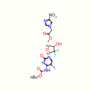 CCCCOC(=O)Nc1nc(=O)n([C@@H]2O[C@H](COC(=O)Cn3cnc([N+](=O)[O-])c3)C(O)C2(F)F)cc1I